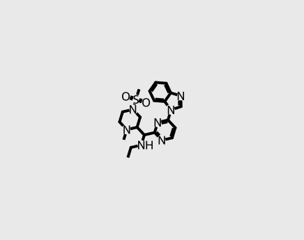 CCNC(c1nccc(-n2cnc3ccccc32)n1)C1CN(S(C)(=O)=O)CCN1C